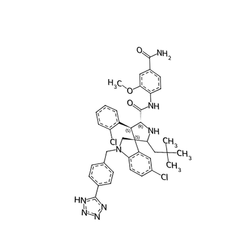 COc1cc(C(N)=O)ccc1NC(=O)[C@@H]1NC(CC(C)(C)C)[C@@]2(CN(Cc3ccc(-c4nnn[nH]4)cc3)c3ccc(Cl)cc32)[C@H]1c1ccccc1Cl